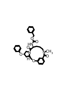 CN1CCC[C@H](NC(=O)OCc2ccccc2)C(=O)N2C[C@@H](Oc3ccccc3)C[C@H]2COc2cccc(c2)C1=O